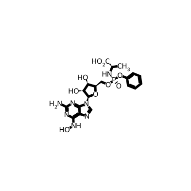 C[C@H](N[P@](=O)(OC[C@H]1O[C@@H](n2cnc3c(NO)nc(N)nc32)[C@H](O)[C@@H]1O)Oc1ccccc1)C(=O)O